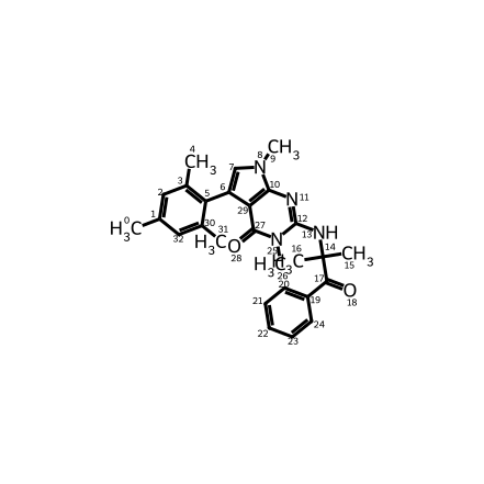 Cc1cc(C)c(-c2cn(C)c3nc(NC(C)(C)C(=O)c4ccccc4)n(C)c(=O)c23)c(C)c1